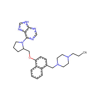 N#CCCN1CCN(Cc2ccc(OCC3CCCN3c3ncnc4[nH]cnc34)c3ccccc23)CC1